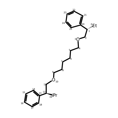 CC[C@H](COCCCCCCOC[C@H](c1ccccc1)C(C)C)c1ccccc1